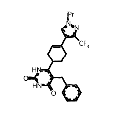 CC(C)n1cc(C2=CCC(c3[nH]c(=O)[nH]c(=O)c3Cc3ccccc3)CC2)c(C(F)(F)F)n1